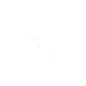 Cc1cc(C(F)(F)F)nc(N)c1C